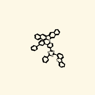 c1ccc(-c2cccc(-c3cc(-c4nc(-c5ccccc5)nc(-c5cccc6c5sc5ccccc56)n4)ccc3-n3c4cc5ccccc5cc4c4cc5ccccc5cc43)c2)cc1